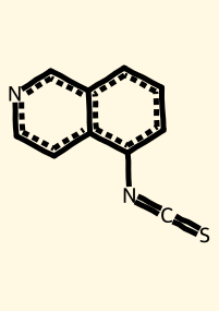 S=C=Nc1cccc2cnccc12